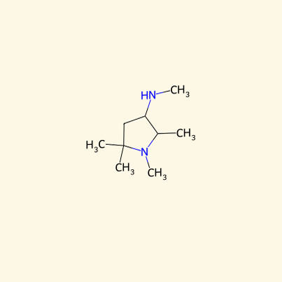 CNC1CC(C)(C)N(C)C1C